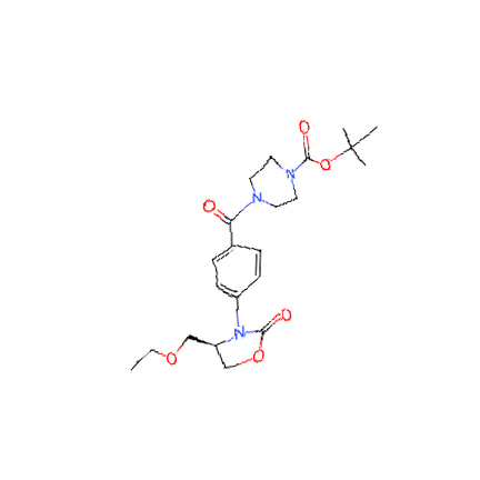 CCOC[C@@H]1COC(=O)N1c1ccc(C(=O)N2CCN(C(=O)OC(C)(C)C)CC2)cc1